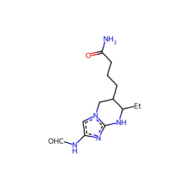 CCC1Nc2nc(NC=O)cn2CC1CCCC(N)=O